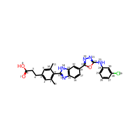 Cc1cc(CCC(=O)O)cc(C)c1-c1nc2ccc(-c3nnc(Nc4cccc(Cl)c4)o3)cc2[nH]1